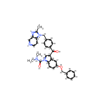 Cc1nc2cnccc2n1Cc1ccc(C(=O)c2cn(C(=O)N(C)C)c3ccc(OCc4ccccc4)cc23)cc1